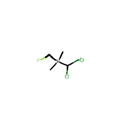 C[Si](C)(CF)C(Cl)Cl